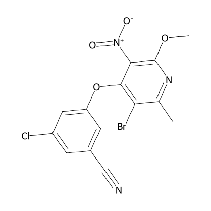 COc1nc(C)c(Br)c(Oc2cc(Cl)cc(C#N)c2)c1[N+](=O)[O-]